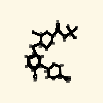 CC1CN(C(=O)OC(C)(C)C)CCN1Cc1ccc(Cl)c(N2CCC(O)CC2)c1